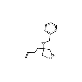 C=CCCC(CO)(CO)NCc1ccccc1